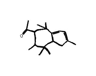 CC(=O)C1C(C)C(C)(C)C2CC(C)=CC=C2C1(C)C